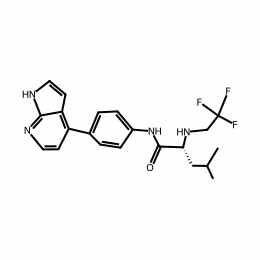 CC(C)C[C@@H](NCC(F)(F)F)C(=O)Nc1ccc(-c2ccnc3[nH]ccc23)cc1